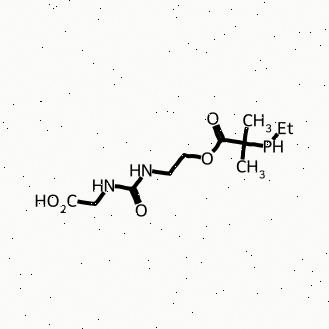 CCPC(C)(C)C(=O)OCCNC(=O)NCC(=O)O